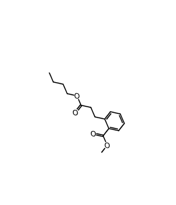 CCCCOC(=O)CCc1ccccc1C(=O)OC